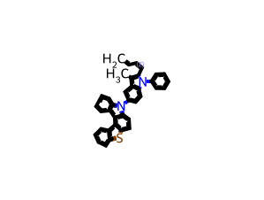 C=C/C=C\c1c(C)c2cc(-n3c4ccccc4c4c5c(ccc43)sc3ccccc35)ccc2n1-c1ccccc1